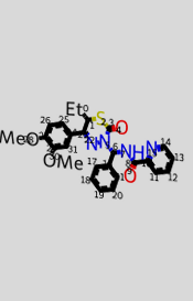 CCC1SC(=O)N(C(NC(=O)c2ccccn2)c2ccccc2)N=C1c1ccc(OC)c(OC)c1